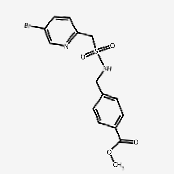 COC(=O)c1ccc(CNS(=O)(=O)Cc2ccc(Br)cn2)cc1